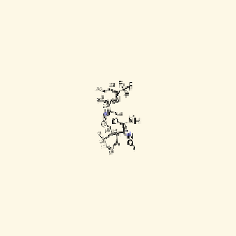 CNC(=O)/C(=N/OC)c1cccc(C)c1CO/N=C(\C)c1cccc(C(F)(F)F)n1